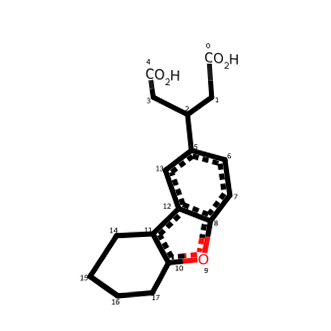 O=C(O)CC(CC(=O)O)c1ccc2oc3c(c2c1)CCCC3